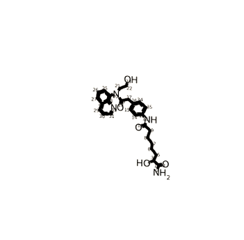 NC(=O)C(O)CCCCCC(=O)Nc1ccc(CC(=O)N(CCO)c2cccc3cccnc23)cc1